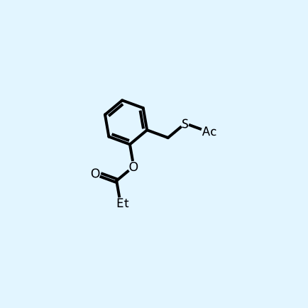 CCC(=O)Oc1ccccc1CSC(C)=O